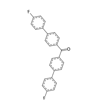 O=C(c1ccc(-c2ccc(F)cc2)cc1)c1ccc(-c2ccc(F)cc2)cc1